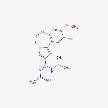 COc1cc2c(cc1Br)-c1nc(/C(=N/C(C)=N)NC(C)C)cn1CCO2